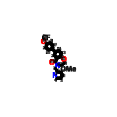 COc1cccnc1CN1CCOc2ccc(-c3ccc(OC(F)(F)F)cc3)cc2C1=O